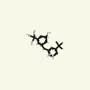 CC(C)(C)c1cnnc(Cc2cc(F)cc(C(F)(F)F)c2)c1